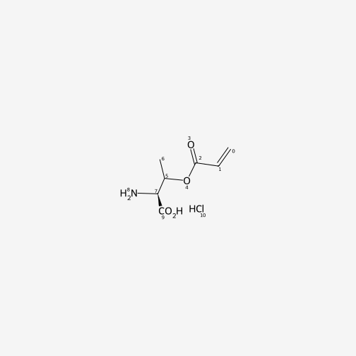 C=CC(=O)OC(C)[C@H](N)C(=O)O.Cl